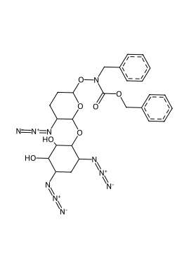 [N-]=[N+]=NC1CCC(ON(Cc2ccccc2)C(=O)OCc2ccccc2)OC1OC1C(N=[N+]=[N-])CC(N=[N+]=[N-])C(O)C1O